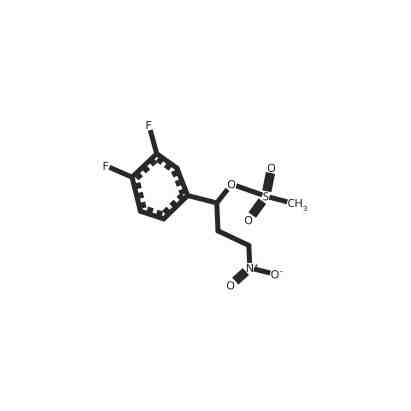 CS(=O)(=O)OC(CC[N+](=O)[O-])c1ccc(F)c(F)c1